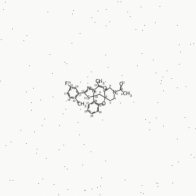 CC(=O)N1CCC2(CC1)CC1(SC(c3cc(F)ccc3C)=NN1C(C)=O)c1ccccc1O2